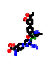 CCC(=O)c1ccc(-c2ccc([C@@H](Oc3cc(N4CCC5(CC4)CN[C@H](C(=O)O)C5)nc(N)n3)C(F)(F)F)c(-n3ccc(C)n3)c2)cc1OC